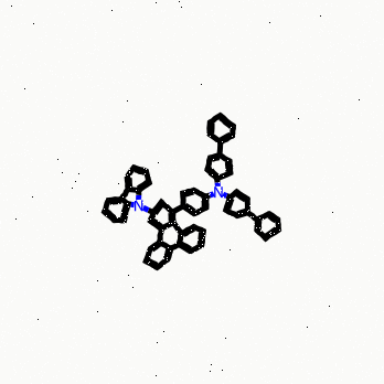 c1ccc(-c2ccc(N(c3ccc(-c4ccccc4)cc3)c3ccc(-c4cc(-n5c6ccccc6c6ccccc65)cc5c6ccccc6c6ccccc6c45)cc3)cc2)cc1